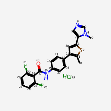 Cc1sc(-c2cncn2C)cc1-c1ccc(NC(=O)c2c(F)cccc2F)cc1.Cl